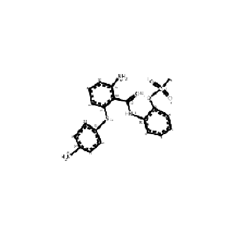 CS(=O)(=O)Oc1ccccc1NC(=O)c1c(N)cccc1Sc1ccc(N)cc1